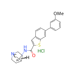 COc1cccc(-c2ccc3cc(C(=O)N[C@H]4CN5CCC4CC5)sc3c2)c1.Cl